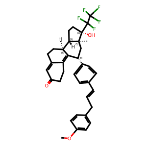 COc1ccc(CC=Cc2ccc([C@H]3C[C@@]4(C)[C@@H](CC[C@@]4(O)C(F)(F)C(F)(F)F)[C@@H]4CCC5=CC(=O)CCC5=C43)cc2)cc1